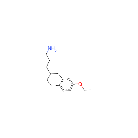 CCOc1ccc2c(c1)CC(CCCN)CC2